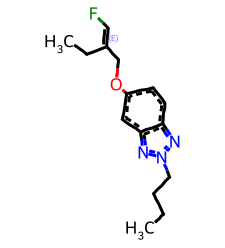 CCCCn1nc2ccc(OC/C(=C/F)CC)cc2n1